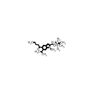 C=CCCC(=O)c1cc2cc(CO[Si](C)(C)C(C)(C)C)n(C)c2cc1C(=C)C